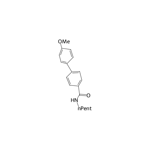 CCCCCNC(=O)c1ccc(-c2ccc(OC)cc2)cc1